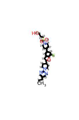 CCCc1cnc(N2CCC(C3Cc4cc(C5=CCN(S(=O)(=O)CCCO)CC5)cc(F)c4O3)CC2)nc1